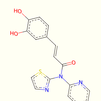 O=C(/C=C/c1ccc(O)c(O)c1)N(c1ccccn1)c1nccs1